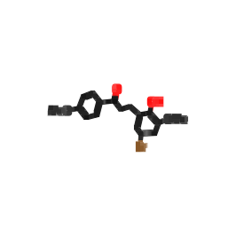 COc1ccc(C(=O)CCc2cc(Br)cc(OC)c2O)cc1